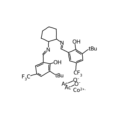 CC(=O)[O-].CC(=O)[O-].CC(C)(C)c1cc(C(F)(F)F)cc(C=NC2CCCCC2N=Cc2cc(C(F)(F)F)cc(C(C)(C)C)c2O)c1O.[Co+2]